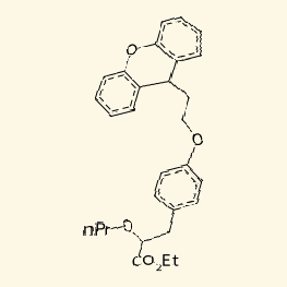 CCCOC(Cc1ccc(OCCC2c3ccccc3Oc3ccccc32)cc1)C(=O)OCC